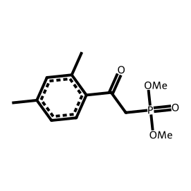 COP(=O)(CC(=O)c1ccc(C)cc1C)OC